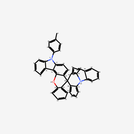 Cc1ccc(-n2c3ccccc3c3c4c(ccc32)C2(c3ccccc3O4)c3ccccc3-n3c4ccccc4c4cccc2c43)cc1